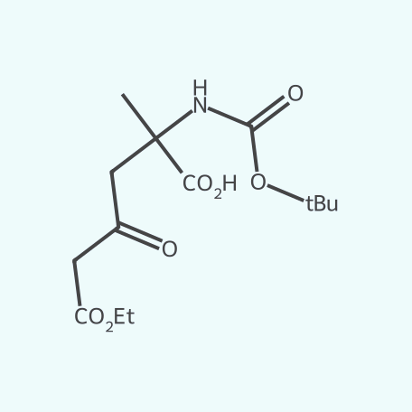 CCOC(=O)CC(=O)CC(C)(NC(=O)OC(C)(C)C)C(=O)O